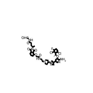 CC(CCC(=O)NC=O)N1C(=O)c2cccc(OCC(=O)NCCN3CCC(n4cc(-c5cnc(N)c(O[C@H](C)c6c(Cl)ccc(F)c6Cl)c5)cn4)CC3)c2C1=O